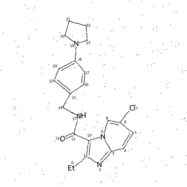 CCc1nc2ccc(Cl)cn2c1C(=O)NCc1ccc(N2CCCC2)cc1